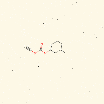 C#COC(=O)OC1CCCC(C)C1